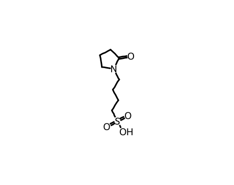 O=C1CCCN1CCCCS(=O)(=O)O